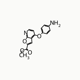 COC(=O)c1cc2c(Oc3ccc(N)cc3)ccnc2o1